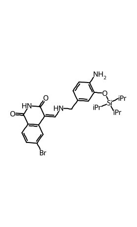 CC(C)[Si](Oc1cc(CN/C=C2\C(=O)NC(=O)c3ccc(Br)cc32)ccc1N)(C(C)C)C(C)C